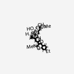 CCc1ccc(-c2oc3nc(N(CCCC(C)(OC)C(=O)O)S(C)(=O)=O)c(C4CC4)cc3c2C(=O)NC)cc1